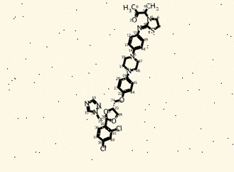 CC(=O)C(C)N1CCSC1=Nc1ccc(N2CCN(c3ccc(OC[C@@H]4CO[C@@](Cn5cncn5)(c5ccc(Cl)cc5Cl)O4)cc3)CC2)cc1